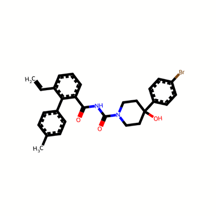 C=Cc1cccc(C(=O)NC(=O)N2CCC(O)(c3ccc(Br)cc3)CC2)c1-c1ccc(C)cc1